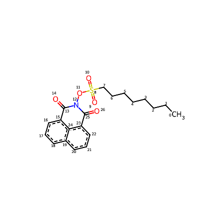 CCCCCCCCS(=O)(=O)ON1C(=O)c2cccc3cccc(c23)C1=O